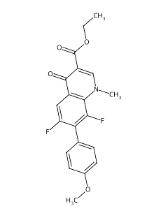 CCOC(=O)c1cn(C)c2c(F)c(-c3ccc(OC)cc3)c(F)cc2c1=O